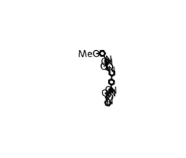 COc1cccc(-c2nnc(S(=O)(=O)Cc3cc(-c4ccc(-c5nnc(S(=O)(=O)Cc6ccccn6)o5)cc4)ccn3)o2)c1